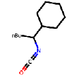 CCCCC(N=C=O)C1CCCCC1